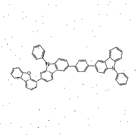 c1ccc(-n2c3ccccc3c3cc(-c4ccc(-c5ccc6c(c5)c5ccc(-c7cccc8c7oc7ccccc78)cc5n6-c5ccccc5)cc4)ccc32)cc1